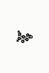 Cc1cc(C(C)(C)C)ccc1N(c1ccc2c(c1)N(c1ccccc1)c1cccc3c1B2c1cccc2c1N3C1(C)CCCCC21C)c1ccc(C(C)(C)C)cc1C